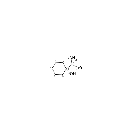 CC(C)C(N)C1(O)CCCCC1